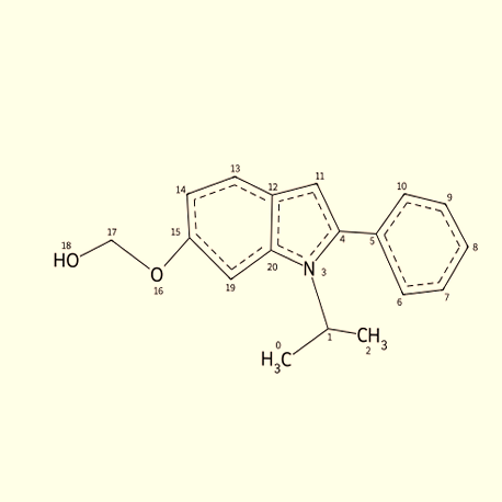 CC(C)n1c(-c2ccccc2)cc2ccc(OCO)cc21